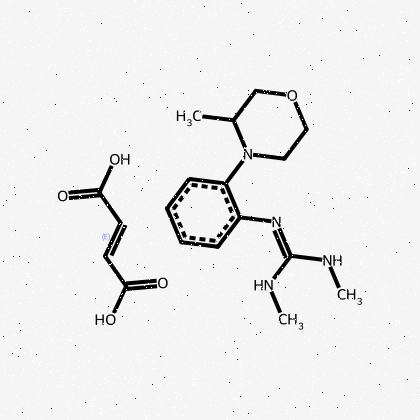 CNC(=Nc1ccccc1N1CCOCC1C)NC.O=C(O)/C=C/C(=O)O